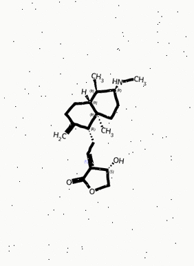 C=C1CC[C@@H]2[C@@H](C)[C@H](NC)CC[C@@]2(C)[C@@H]1C/C=C1/C(=O)OC[C@H]1O